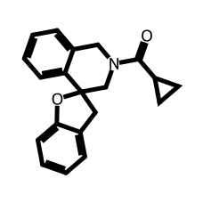 O=C(C1CC1)N1Cc2ccccc2C2(Cc3ccccc3O2)C1